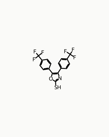 FC(F)(F)c1ccc(-c2nc(S)oc2-c2ccc(C(F)(F)F)cc2)cc1